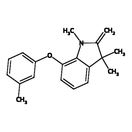 C=C1N(C)c2c(Oc3cccc(C)c3)cccc2C1(C)C